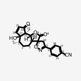 C[C@H]1CC[C@@H]2[C@@H](OC(=O)C23CC(c2ccc(C#N)cc2)=NO3)[C@]2(C)C(=O)C=C[C@@]12O